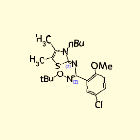 CCCCn1c(C)c(C)s/c1=N\C(=N/OC(C)(C)C)c1cc(Cl)ccc1OC